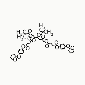 C=C(C)C(=O)OCC(CCC(COC(=O)CCC(=O)Oc1ccc(OC2CCCCO2)cc1)OC(=O)C(=C)C)OC(=O)CCC(=O)Oc1ccc(OC2CCCCO2)cc1